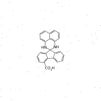 O=C(O)c1cccc2c1-c1ccccc1C21Nc2cccc3cccc(c23)N1